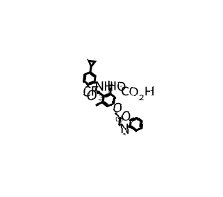 Cc1cc(OC[C@@H]2CN(C)c3ccccc3O2)cc(C)c1C(=O)Nc1cc(C2CC2)ccc1C(F)(F)F.O=C(O)O